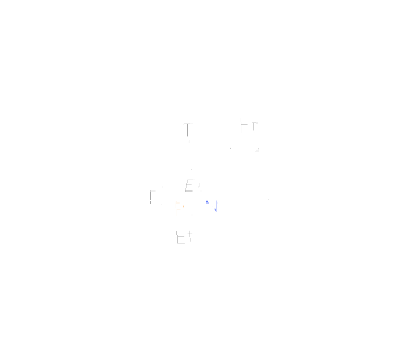 CC=CC=CCC.CCP(CC)(CC)=NC1=CC=CC1.[Ti]